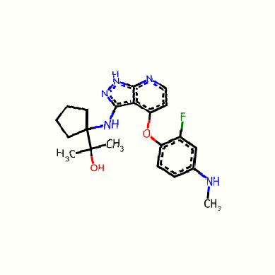 CNc1ccc(Oc2ccnc3[nH]nc(NC4(C(C)(C)O)CCCC4)c23)c(F)c1